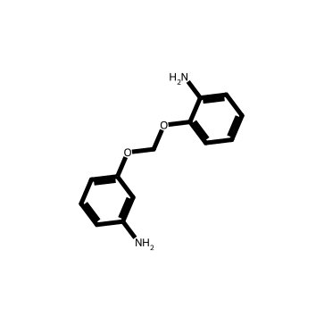 Nc1cccc(OCOc2ccccc2N)c1